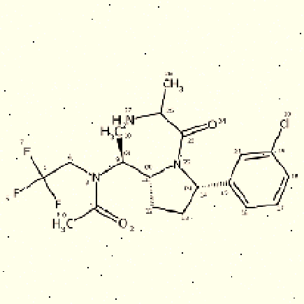 CC(=O)N(CC(F)(F)F)[C@@H](C)[C@H]1CC[C@@H](c2cccc(Cl)c2)N1C(=O)C(C)N